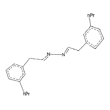 CCCc1cccc(C/C=N/N=C/Cc2cccc(CCC)c2)c1